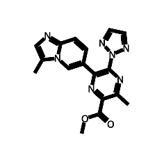 COC(=O)c1nc(-c2ccc3ncc(C)n3c2)c(-n2nccn2)nc1C